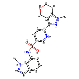 Cn1nc(-c2ccc(S(=O)(=O)Nc3cccc4cnn(C)c34)cn2)c2c1CCOC2